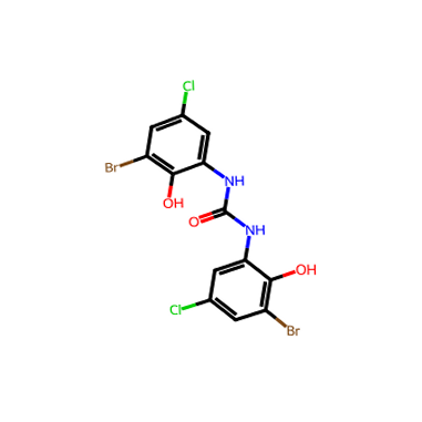 O=C(Nc1cc(Cl)cc(Br)c1O)Nc1cc(Cl)cc(Br)c1O